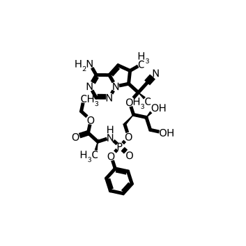 CCOC(=O)[C@H](C)NP(=O)(OC[C@@H](O[C@@](C)(C#N)C1C(C)C=C2C(N)=NC=NN21)[C@@H](O)CO)Oc1ccccc1